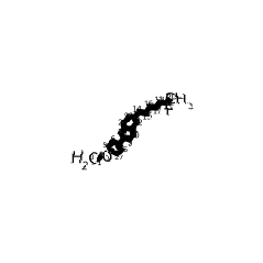 C=CCOc1ccc(-c2ccc3cc(CCCCCC(C)F)ccc3c2)cc1